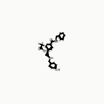 N#Cc1ccc(CNC2CC2c2ccc(C(=O)NCc3ccccc3)cc2)cc1.O=C(O)C(F)(F)F